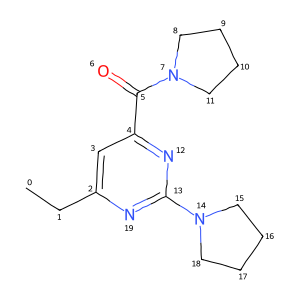 CCc1cc(C(=O)N2CCCC2)nc(N2CCCC2)n1